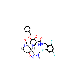 C[C@H]1CC[C@]2(CC(N(C)C)=NO2)[C@H]2CN1C(=O)c1c(OCc3ccccc3)c(=O)c(C(=O)NCc3c(F)cc(F)cc3F)cn12